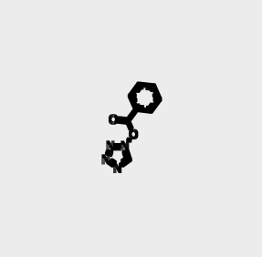 O=C(On1cnnn1)c1ccccc1